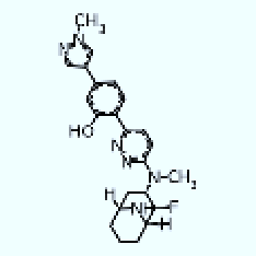 CN(c1ccc(-c2ccc(-c3cnn(C)c3)cc2O)nn1)[C@@H]1C[C@H]2CCC[C@H](N2)[C@@H]1F